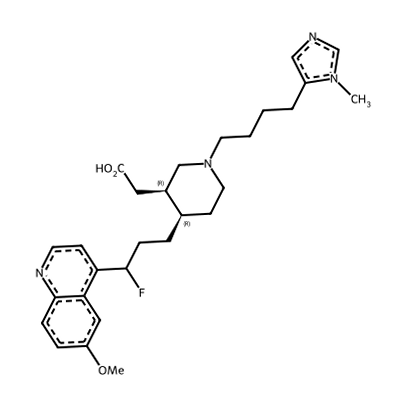 COc1ccc2nccc(C(F)CC[C@@H]3CCN(CCCCc4cncn4C)C[C@@H]3CC(=O)O)c2c1